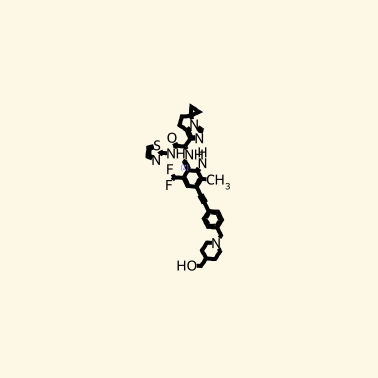 CC1=C(C#Cc2ccc(CN3CCC(CO)CC3)cc2)C=C(C(F)F)/C(=C/NC(C(=O)Nc2nccs2)c2ncn3c2CCC32CC2)C1=N